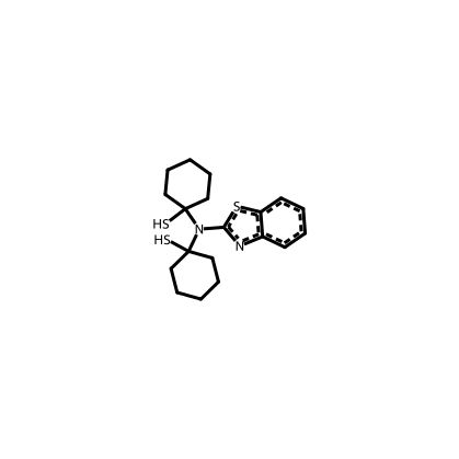 SC1(N(c2nc3ccccc3s2)C2(S)CCCCC2)CCCCC1